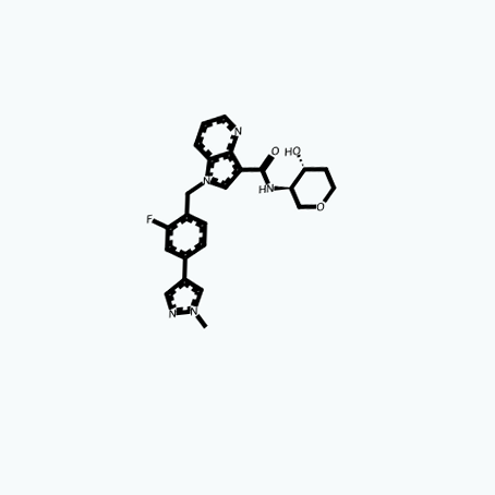 Cn1cc(-c2ccc(Cn3cc(C(=O)N[C@@H]4COCC[C@H]4O)c4ncccc43)c(F)c2)cn1